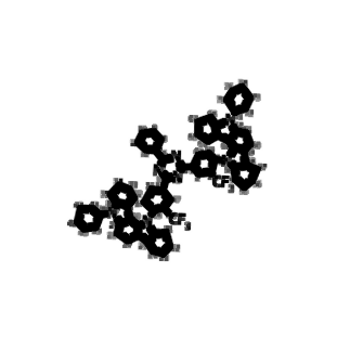 FC(F)(F)c1cc(-c2nc(-c3ccccc3)nc(-c3ccc(-n4c5ccccc5c5ccc6c(c7ccccc7n6-c6ccccc6)c54)c(C(F)(F)F)c3)n2)ccc1-n1c2ccccc2c2ccc3c(c4ccccc4n3-c3ccccc3)c21